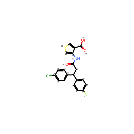 O=C(CC(c1ccc(F)cc1)c1ccc(Cl)cc1)Nc1cscc1C(=O)O